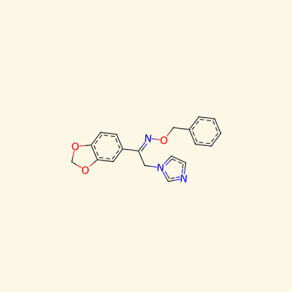 c1ccc(CO/N=C(\Cn2ccnc2)c2ccc3c(c2)OCO3)cc1